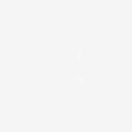 CCCCP(=O)(C(=O)c1c(C)cc(C(C)(C)C)cc1C)c1ccccc1